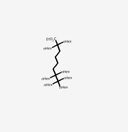 CCCCCCC(CCCCCC)(CCCCC(CCCCCC)(CCCCCC)C(CCCCCC)(CCCCCC)CCCCCC)C(=O)OCC